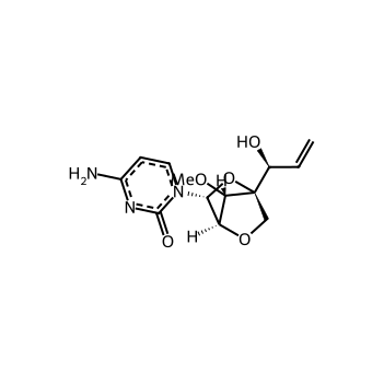 C=C[C@H](O)[C@@]12CO[C@@H]([C@H](n3ccc(N)nc3=O)O1)[C@@H]2OC